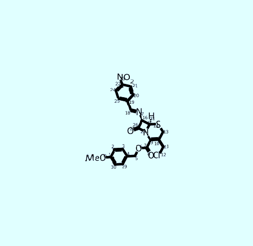 COc1ccc(COC(=O)C2=C(CCl)CS[C@@H]3[C@H](/N=C/c4ccc([N+](=O)[O-])cc4)C(=O)N23)cc1